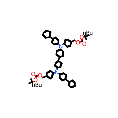 CCCCC(C)(C)OC(=O)OCc1ccc(N(c2ccc(-c3ccccc3)cc2)c2ccc(-c3ccc(N(c4ccc(COC(=O)OC(C)(C)CCCC)cc4)c4ccc(-c5ccccc5)cc4)cc3)cc2)cc1